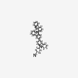 N#CC1=CC=C(n2c3ccccc3c3cc(-c4ccc5c(c4)c4ccccc4n5-c4cccc5c4sc4ccccc45)ccc32)CC1